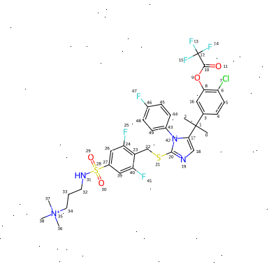 CC(C)(c1ccc(Cl)c(OC(=O)C(F)(F)F)c1)c1cnc(SCc2c(F)cc(S(=O)(=O)NCCC[N+](C)(C)C)cc2F)n1-c1ccc(F)cc1